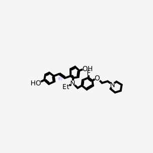 CCN(Cc1ccc(OCCN2CCCCC2)c(F)c1)c1cc(O)ccc1/C=C/c1ccc(O)cc1